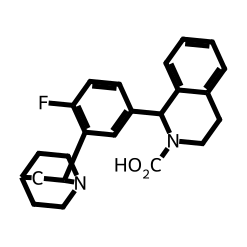 O=C(O)N1CCc2ccccc2C1c1ccc(F)c(C2CC3CCN2CC3)c1